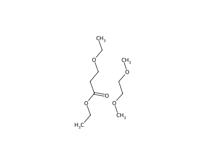 CCOCCC(=O)OCC.COCCOC